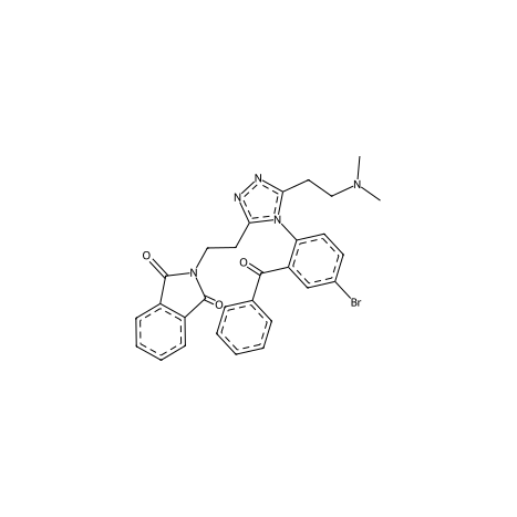 CN(C)CCc1nnc(CCN2C(=O)c3ccccc3C2=O)n1-c1ccc(Br)cc1C(=O)c1ccccc1